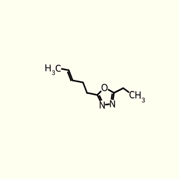 CC=CCCc1nnc(CC)o1